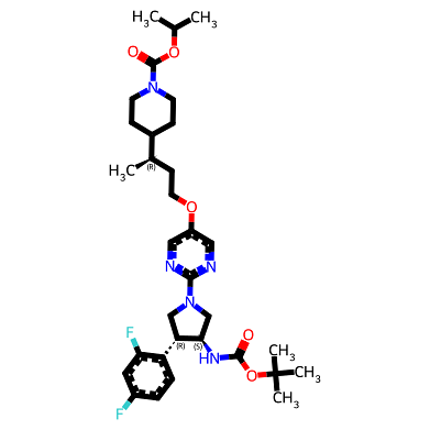 CC(C)OC(=O)N1CCC([C@H](C)CCOc2cnc(N3C[C@@H](NC(=O)OC(C)(C)C)[C@H](c4ccc(F)cc4F)C3)nc2)CC1